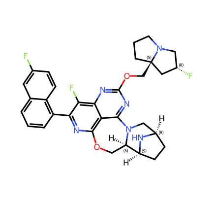 Fc1ccc2c(-c3nc4c5c(nc(OC[C@@]67CCCN6C[C@H](F)C7)nc5c3F)N3C[C@H]5CC[C@H](N5)[C@H]3CO4)cccc2c1